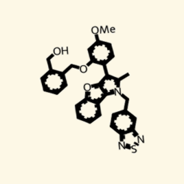 COc1ccc(-c2c(C)n(Cc3ccc4nsnc4c3)c3c2oc2ccccc23)c(OCc2ccccc2CO)c1